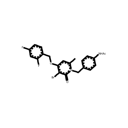 CC(=O)Nc1ccc(Cn2c(C)cc(OCc3ccc(F)cc3F)c(Br)c2=O)cc1